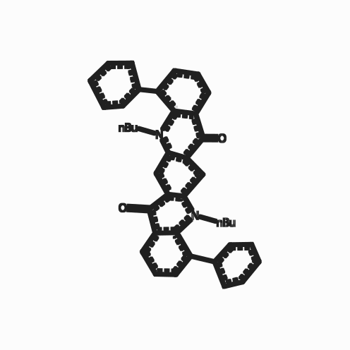 CCCCn1c2cc3c(=O)c4cccc(-c5ccccc5)c4n(CCCC)c3cc2c(=O)c2cccc(-c3ccccc3)c21